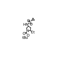 CCC1CC(NS(=O)(=O)C2CC2)CN1C(=O)OC(C)(C)C